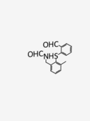 Cc1cccc(CNC=O)c1Sc1ccccc1C=O